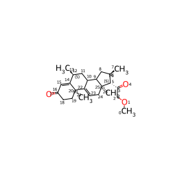 COCC(=O)[C@H]1[C@H](C)CC2C3C[C@H](C)C4=CC(=O)CC[C@]4(C)C3=CC[C@@]21C